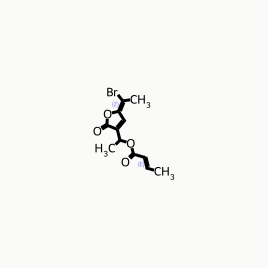 C/C=C/C(=O)OC(C)C1=C/C(=C(\C)Br)OC1=O